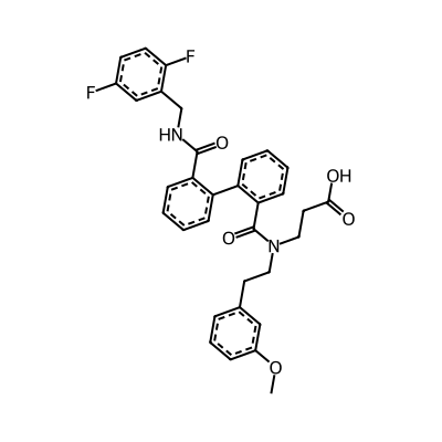 COc1cccc(CCN(CCC(=O)O)C(=O)c2ccccc2-c2ccccc2C(=O)NCc2cc(F)ccc2F)c1